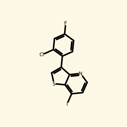 Fc1ccc(-c2csc3c(I)ccnc23)c(Cl)c1